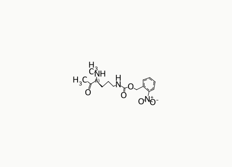 CN[C@@H](CCCNC(=O)OCc1ccccc1[N+](=O)[O-])C(C)=O